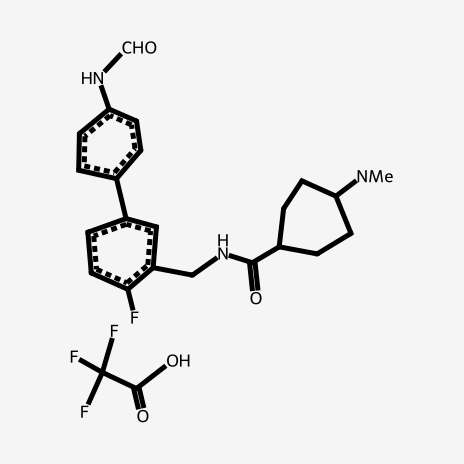 CNC1CCC(C(=O)NCc2cc(-c3ccc(NC=O)cc3)ccc2F)CC1.O=C(O)C(F)(F)F